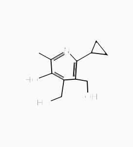 Cc1nc(C2CC2)c(CO)c(CO)c1O